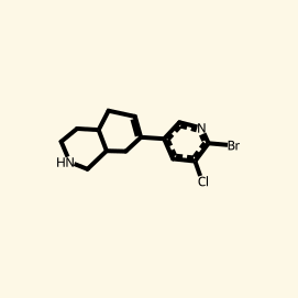 Clc1cc(C2=CCC3CCNCC3C2)cnc1Br